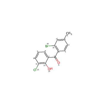 Cc1ccc(C(=O)c2cccc(Cl)c2O)c(Br)c1